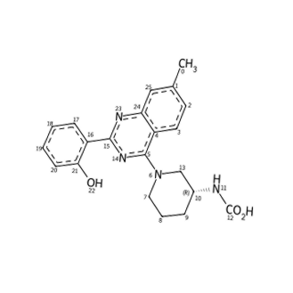 Cc1ccc2c(N3CCC[C@@H](NC(=O)O)C3)nc(-c3ccccc3O)nc2c1